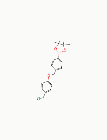 CC1(C)OB(c2ccc(COc3ccc(CCl)cc3)cc2)OC1(C)C